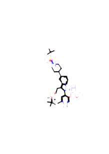 COCOc1cnc(C)cc1-c1[nH]c2ccc(C3CCN(C(=O)OC(C)(C)C)CC3)cc2c1CCO[Si](C)(C)C(C)(C)C